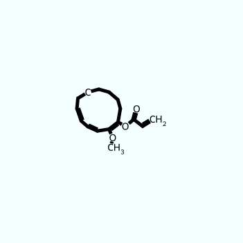 C=CC(=O)OC1=C(OC)C=CC=CCCCCCC1